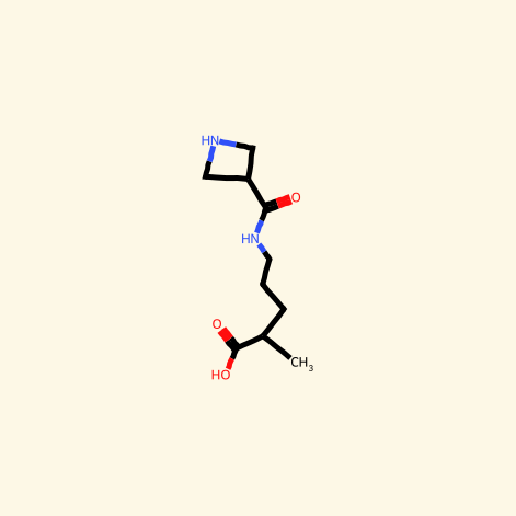 CC(CCCNC(=O)C1CNC1)C(=O)O